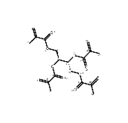 C=C(C)C(=O)OC[C@H](OC(=O)C(=C)C)[C@@H](COC(=O)C(=C)C)OC(=O)C(=C)C